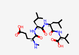 CN[C@@H](CCC(=O)O)C(=O)N[C@@H](CC(C)C)C(=O)N[C@@H](CC(C)C)C(=O)N[C@H](C(=O)O)C(C)C